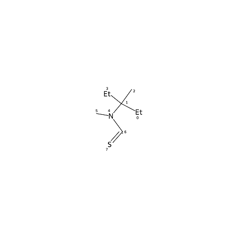 CCC(C)(CC)N(C)[C]=S